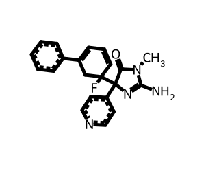 CN1C(=O)C(c2ccncc2)(C2(F)C=CC=C(c3ccccc3)C2)N=C1N